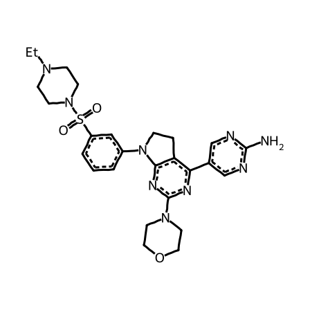 CCN1CCN(S(=O)(=O)c2cccc(N3CCc4c(-c5cnc(N)nc5)nc(N5CCOCC5)nc43)c2)CC1